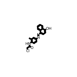 Cc1cc(N=Nc2ccc(O)c3ccccc23)ccc1NC(=O)CCl